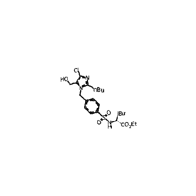 CCCCc1nc(Cl)c(CO)n1Cc1ccc(S(=O)(=O)N[C@@H](C(=O)OCC)[C@H](C)CC)cc1